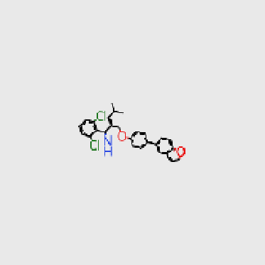 CC(C)/C=C(\COc1ccc(-c2ccc3occc3c2)cc1)C(=N)c1c(Cl)cccc1Cl